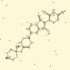 O=C1CCC(N2C(=O)c3ccc(N4CCN(CC5(O)CCNCC5)CC4)cc3C2=O)C(=O)N1